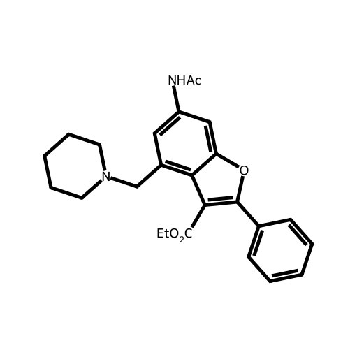 CCOC(=O)c1c(-c2ccccc2)oc2cc(NC(C)=O)cc(CN3CCCCC3)c12